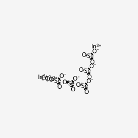 O=[Se]([O-])[O-].O=[Se]([O-])[O-].O=[Se]([O-])[O-].O=[Se]([O-])[O-].O=[Se]([O-])[O-].[Cu+2].[Cu+2].[In+3].[In+3]